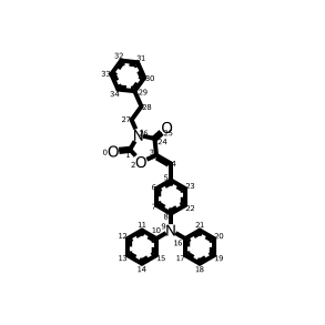 O=C1O/C(=C\c2ccc(N(c3ccccc3)c3ccccc3)cc2)C(=O)N1CCc1ccccc1